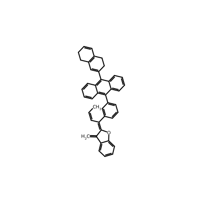 C=c1/c(=C(\C=C/C)c2cccc(-c3c4ccccc4c(C4=CC5=C(C=CCC5)CC4)c4ccccc34)c2)oc2ccccc12